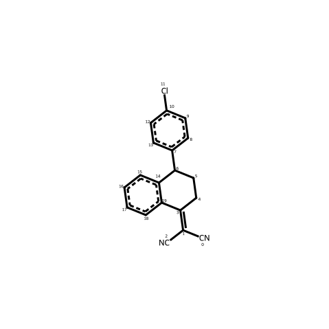 N#CC(C#N)=C1CCC(c2ccc(Cl)cc2)c2ccccc21